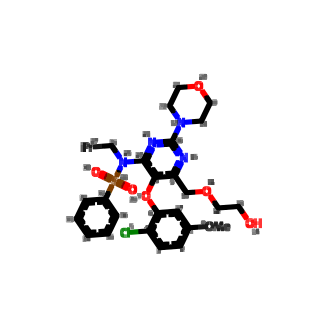 COc1ccc(Cl)c(Oc2c(COCCO)nc(N3CCOCC3)nc2N(CC(C)C)S(=O)(=O)c2ccccc2)c1